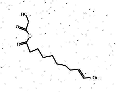 CCCCCCCCC=CCCCCCCCC(=O)OC(=O)CO